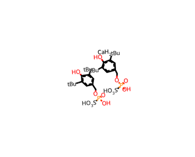 CC(C)(C)c1cc(COP(=O)(O)S(=O)(=O)O)cc(C(C)(C)C)c1O.CC(C)(C)c1cc(COP(=O)(O)S(=O)(=O)O)cc(C(C)(C)C)c1O.[CaH2]